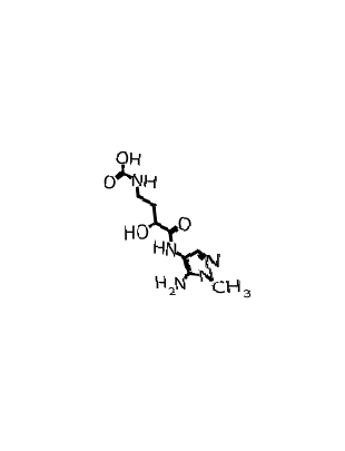 Cn1ncc(NC(=O)[C@@H](O)CCNC(=O)O)c1N